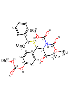 COC(=O)C(C(SC(OC)c1ccccc1)c1ccc(OC(=O)OC(C)(C)C)cc1)N(C(=O)OC(C)(C)C)C(=O)OC(C)(C)C